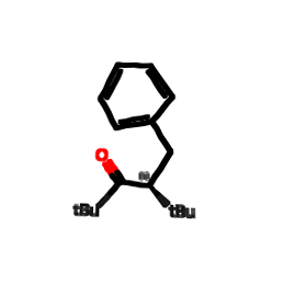 CC(C)(C)C(=O)[C@@H](Cc1ccccc1)C(C)(C)C